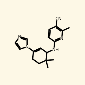 Cc1nc(NC2C=C(n3ccnc3)CCC2(C)C)ccc1C#N